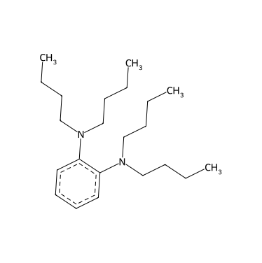 CCCCN(CCCC)c1ccccc1N(CCCC)CCCC